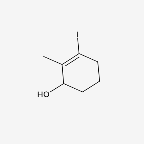 CC1=C(I)CCCC1O